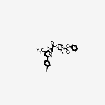 C[C@H]1CN(C(=O)c2cn3nc(-c4ccc(F)cc4)cc(C(F)(F)F)c3n2)CCN1C(=O)Oc1ccccc1